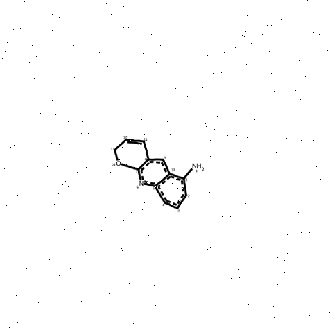 Nc1cccc2nc3c(cc12)C=CCO3